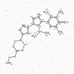 CCCN1CCC(c2cnc(-c3n[nH]c(-c4cn(C)c(=O)c(C)c4C)c3C(C)C)s2)CC1